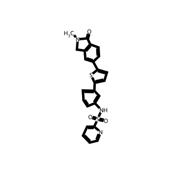 CN1Cc2cc(-c3ccc(-c4cccc(NS(=O)(=O)c5ccccn5)c4)s3)ccc2C1=O